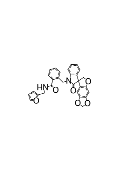 O=C(NCc1ccco1)c1ccccc1CN1C(=O)C2(COc3cc4c(cc32)OCO4)c2ccccc21